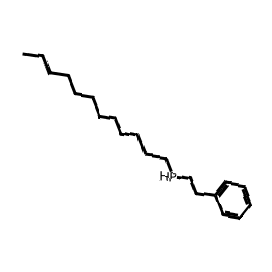 CCCCCCCCCCCCPCCc1ccccc1